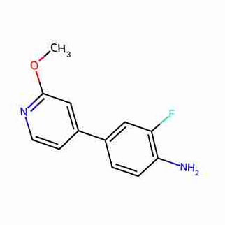 COc1cc(-c2ccc(N)c(F)c2)ccn1